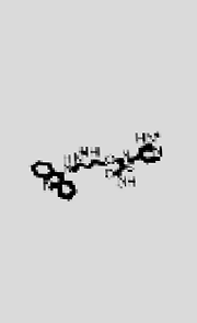 CNC(=O)c1sc(-c2ccnc(NC)c2)nc1OCCC/C(=C/Nc1c2c(nc3ccccc13)CCCC2)N=N